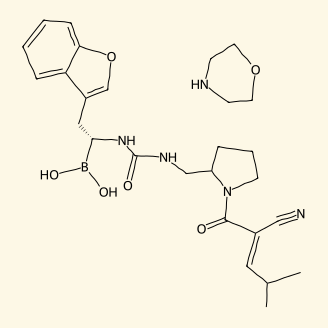 C1COCCN1.CC(C)C=C(C#N)C(=O)N1CCCC1CNC(=O)N[C@@H](Cc1coc2ccccc12)B(O)O